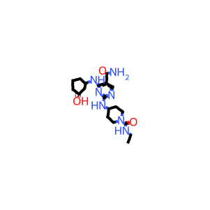 CCNC(=O)N1CCC(Nc2ncc(C(N)=O)c(NC3CCC[C@H](O)C3)n2)CC1